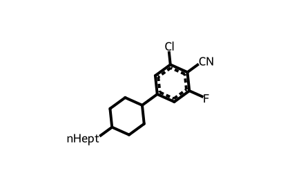 CCCCCCCC1CCC(c2cc(F)c(C#N)c(Cl)c2)CC1